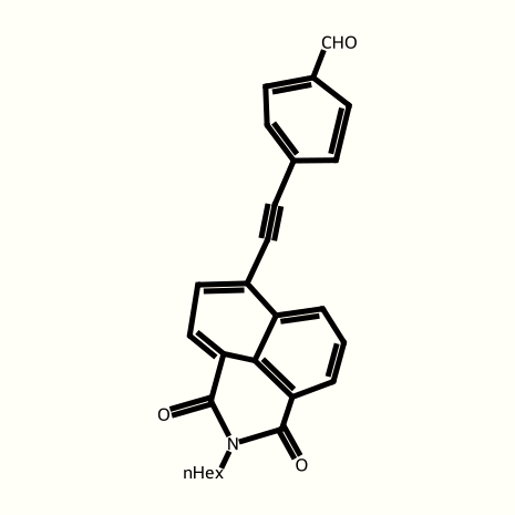 CCCCCCN1C(=O)c2cccc3c(C#Cc4ccc(C=O)cc4)ccc(c23)C1=O